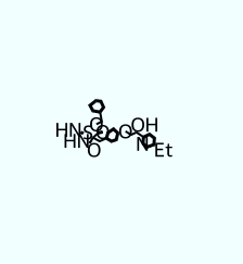 CCc1ccc(C(O)COc2ccc(CC3(C(=O)OCc4ccccc4)SC(=N)NC3=O)cc2)nc1